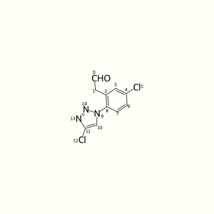 O=CCc1cc(Cl)ccc1-n1cc(Cl)nn1